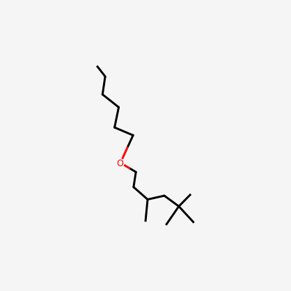 CCCCCCOCCC(C)CC(C)(C)C